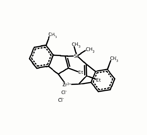 CCC1=C2c3c(C)cccc3[CH]1[Zr+2][CH]1C(CC)=C(c3c(C)cccc31)[Si]2(C)C.[Cl-].[Cl-]